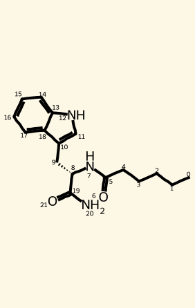 CCCCCC(=O)N[C@@H](Cc1c[nH]c2ccccc12)C(N)=O